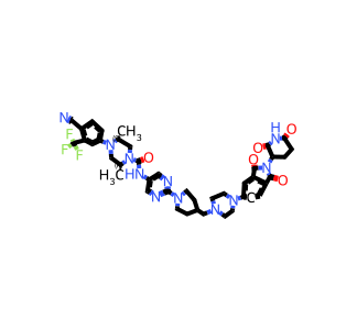 C[C@@H]1CN(c2ccc(C#N)c(C(F)(F)F)c2)[C@@H](C)CN1C(=O)Nc1cnc(N2CCC(CN3CCN(c4ccc5c(c4)C(=O)N(C4CCC(=O)NC4=O)C5=O)CC3)CC2)nc1